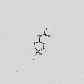 O=C(O)NC1CCS(=O)(=O)CC1